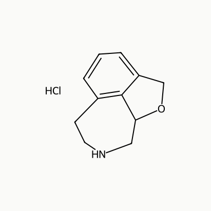 Cl.c1cc2c3c(c1)COC3CNCC2